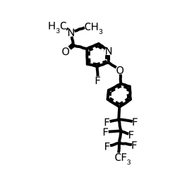 CN(C)C(=O)c1cnc(Oc2ccc(C(F)(F)C(F)(F)C(F)(F)C(F)(F)F)cc2)c(F)c1